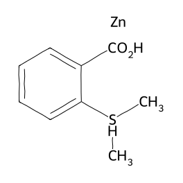 C[SH](C)c1ccccc1C(=O)O.[Zn]